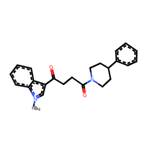 CCCCn1cc(C(=O)CCC(=O)N2CCC(c3ccccc3)CC2)c2ccccc21